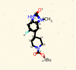 Cn1c(=O)[nH]c2cc(F)c(C3=CCN(C(=O)OC(C)(C)C)CC3)cc21